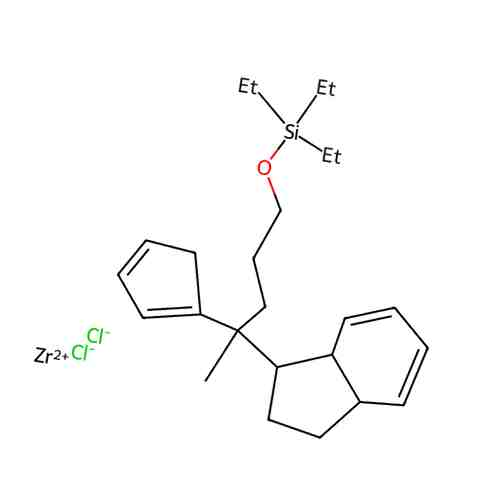 CC[Si](CC)(CC)OCCCC(C)(C1=CC=CC1)C1CCC2C=CC=CC21.[Cl-].[Cl-].[Zr+2]